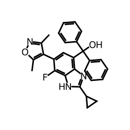 Cc1noc(C)c1-c1cc(C(O)(c2ccccc2)c2ccccc2)c2nc(C3CC3)[nH]c2c1F